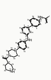 C=C(C)Nc1ccc(-c2ccnc(Nc3ccc(N4CCN(C(=C)C5CCNCC5)CC4)cc3)n2)cc1